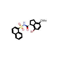 COc1ccc(Br)c2c1CC[C@H]2C(=O)NS(=O)(=O)c1cccc2ccccc12